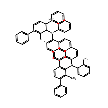 CC1=C(c2ccccc2)C=CC(c2ccccc2)C1N(c1ccccc1C)c1ccc2ccc3c(N(c4ccccc4C)c4c(-c5ccccc5)ccc(-c5ccccc5)c4C)ccc4ccc1c2c43